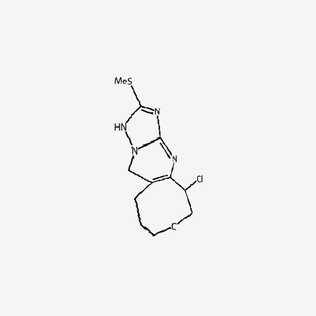 CSC1=NC2=NC3=C(CCCCCC3Cl)CN2N1